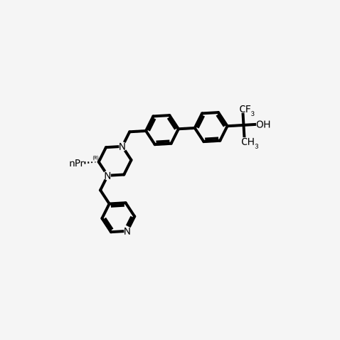 CCC[C@@H]1CN(Cc2ccc(-c3ccc(C(C)(O)C(F)(F)F)cc3)cc2)CCN1Cc1ccncc1